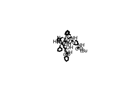 CC(C)(C)OC(=O)NC1CCN(C(=O)N[C@@H](Cc2ccccc2)C(=O)N[C@@H](Cc2c[nH]cn2)C(=O)N[C@@H](CC2CCCCC2)[C@@H](O)C[C@@H](O)CNS(=O)(=O)C2CCCCC2)CC1